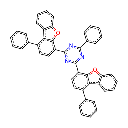 c1ccc(-c2nc(-c3ccc(-c4ccccc4)c4c3oc3ccccc34)nc(-c3ccc(-c4ccccc4)c4c3oc3ccccc34)n2)cc1